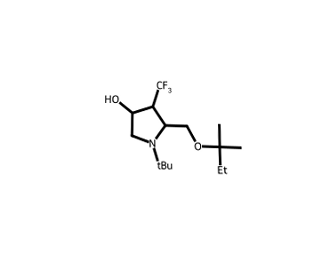 CCC(C)(C)OCC1C(C(F)(F)F)C(O)CN1C(C)(C)C